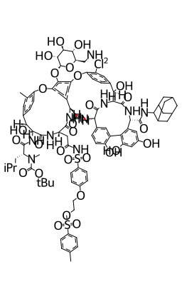 Cc1ccc(S(=O)(=O)OCCOc2ccc(S(=O)(=O)NC(=O)C[C@@H]3NC(=O)[C@H](NC(=O)[C@@H](CC(C)C)N(C)C(=O)OC(C)(C)C)[C@H](O)c4ccc(c(C)c4)Oc4cc5cc(c4O[C@@H]4O[C@H](CN)[C@@H](O)[C@H](O)[C@H]4O)Oc4ccc(cc4Cl)[C@@H](O)[C@@H]4NC(=O)[C@H](NC(=O)[C@@H]5NC3=O)c3ccc(O)c(c3)-c3c(O)cc(O)cc3[C@@H](C(=O)NC3C5CC6CC(C5)CC3C6)NC4=O)cc2)cc1